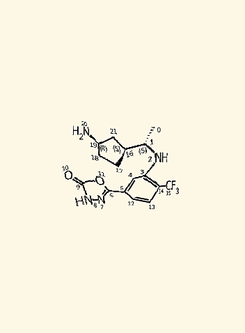 C[C@H](Nc1cc(-c2n[nH]c(=O)o2)ccc1C(F)(F)F)[C@H]1CC[C@@H](N)C1